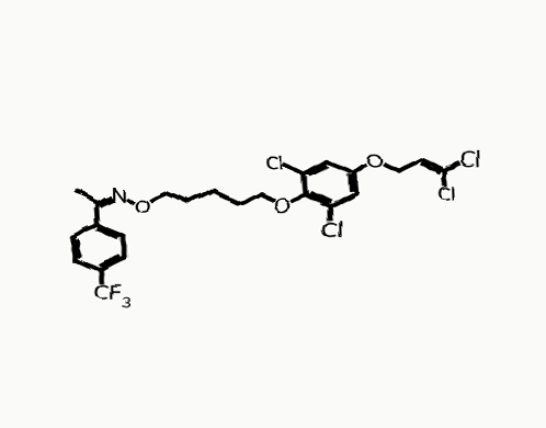 CC(=NOCCCCCOc1c(Cl)cc(OCC=C(Cl)Cl)cc1Cl)c1ccc(C(F)(F)F)cc1